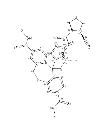 CNC(=O)c1ccc2c(c1)CCc1cc(C(=O)NC)ccc1C2(C[C@@H](C)NCC(=O)N1CCC[C@H]1C#N)c1nnc(C)o1